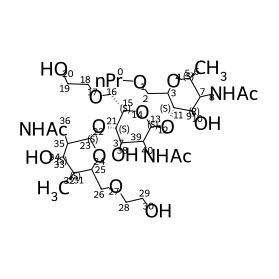 CCCOCC1O[C@@H](C)C(NC(C)=O)[C@@H](O)[C@@H]1O[C@@H]1O[C@@H](COCCO)[C@@H](O[C@@H]2OC(COCCO)[C@@H](C)[C@H](O)C2NC(C)=O)C(O)C1NC(C)=O